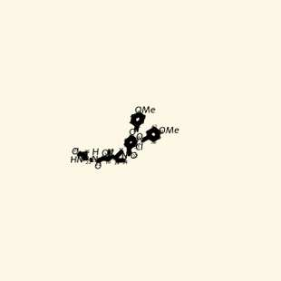 COc1ccc(COc2ccc(C(=O)N3CC[C@@H](c4cc(C(=O)NC[C@H]5CC(=O)N5)on4)C3)c(Cl)c2OCc2ccc(OC)cc2)cc1